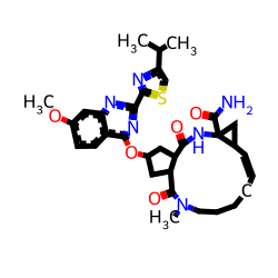 COc1ccc2c(OC3CC4C(=O)NC5(C(N)=O)CC5C=CCCCCN(C)C(=O)C4C3)nc(-c3nc(C(C)C)cs3)nc2c1